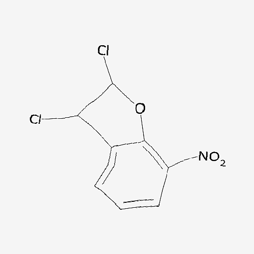 O=[N+]([O-])c1cccc2c1OC(Cl)C2Cl